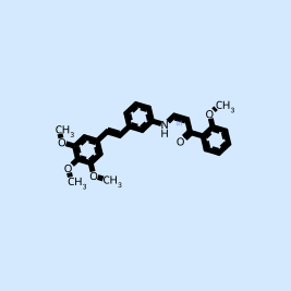 COc1ccccc1C(=O)/C=C\Nc1cccc(C=Cc2cc(OC)c(OC)c(OC)c2)c1